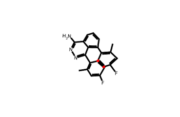 Cc1cc(F)ccc1-c1cccc2c(N)nnc(-c3ccc(F)cc3C)c12